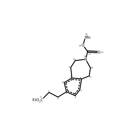 CCOC(=O)CCc1ccc2c(c1)CCN(C(=O)OC(C)(C)C)CC2